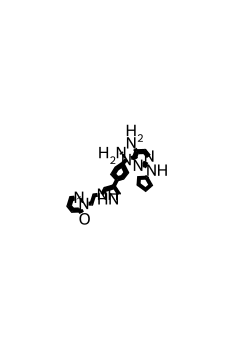 N=C/C(=C\NCCn1ncccc1=O)c1ccc(N(N)c2nc(NC3CCCC3)ncc2N)cc1